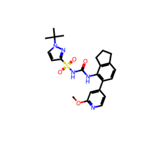 COc1cc(-c2ccc3c(c2NC(=O)NS(=O)(=O)c2ccn(C(C)(C)C)n2)CCC3)ccn1